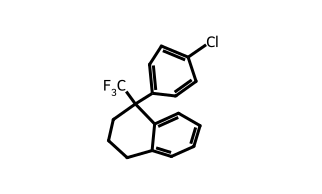 FC(F)(F)C1(c2ccc(Cl)cc2)CCCc2ccccc21